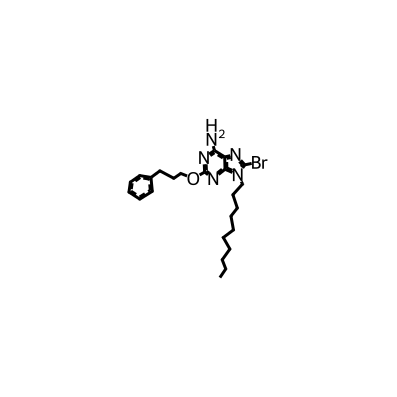 CCCCCCCCCCn1c(Br)nc2c(N)nc(OCCCc3ccccc3)nc21